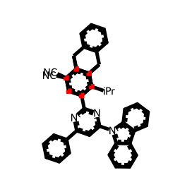 CC(C)c1c(-c2nc(-c3ccccc3)cc(-n3c4ccccc4c4ccccc43)n2)cc(C#N)c2c1C1c3ccccc3C2c2c(C#N)cccc21